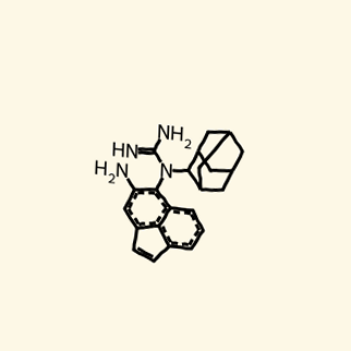 N=C(N)N(c1c(N)cc2c3c(cccc13)C=C2)C1C2CC3CC(C2)CC1C3